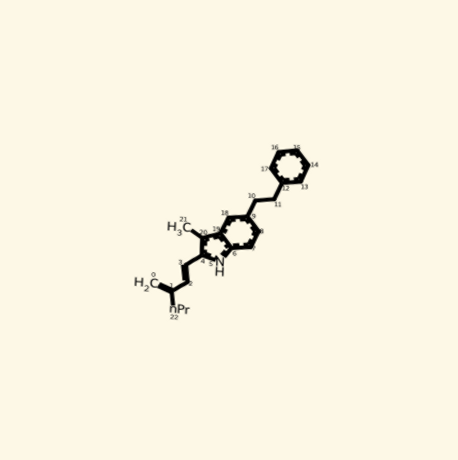 C=C(/C=C/c1[nH]c2ccc(CCc3ccccc3)cc2c1C)CCC